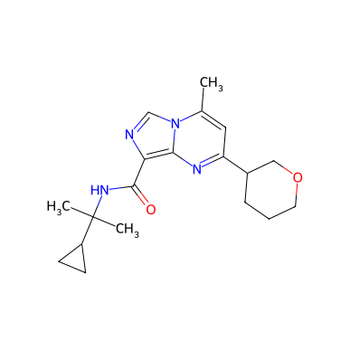 Cc1cc(C2CCCOC2)nc2c(C(=O)NC(C)(C)C3CC3)ncn12